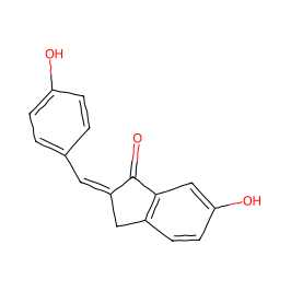 O=C1C(=Cc2ccc(O)cc2)Cc2ccc(O)cc21